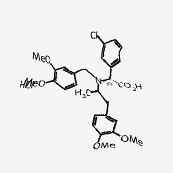 COc1ccc(CC(C)N(Cc2ccc(OC)c(OC)c2)[C@@H](C(=O)O)c2cccc(Cl)c2)cc1OC.Cl